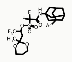 CC(=O)C12CC3CC(CC(NC(=O)C(F)(F)S(=O)(=O)OC(CC4(C)OCCCO4)C(F)(F)F)(C3)C1)C2